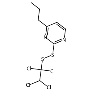 CCCc1ccnc(SSC(Cl)(Cl)C(Cl)Cl)n1